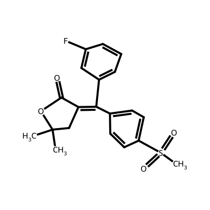 CC1(C)CC(=C(c2ccc(S(C)(=O)=O)cc2)c2cccc(F)c2)C(=O)O1